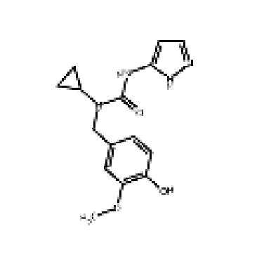 COc1cc(CN(C(=O)Nc2ccn[nH]2)C2CC2)ccc1O